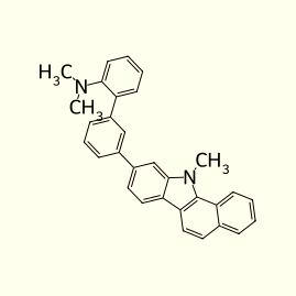 CN(C)c1ccccc1-c1cccc(-c2ccc3c4ccc5ccccc5c4n(C)c3c2)c1